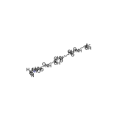 CC(=O)N(O)CCCCCNC(=O)CCC(=O)N(O)CCCCCNC(=O)CCC(=O)N(O)CCCCCNC(=O)CCC(=O)NC(=O)N/N=C(\C)c1cnccn1